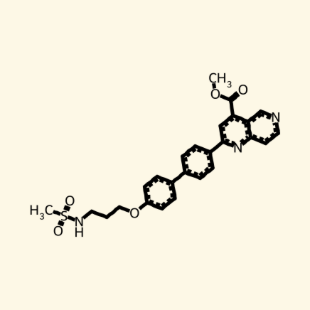 COC(=O)c1cc(-c2ccc(-c3ccc(OCCCNS(C)(=O)=O)cc3)cc2)nc2ccncc12